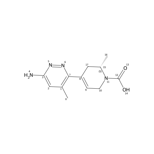 Cc1cc(N)nnc1C1=CCN(C(=O)O)[C@@H](C)C1